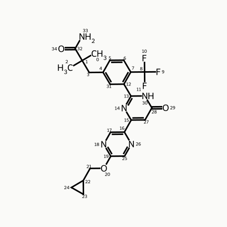 CC(C)(Cc1ccc(C(F)(F)F)c(-c2nc(-c3cnc(OCC4CC4)cn3)cc(=O)[nH]2)c1)C(N)=O